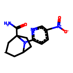 NC(=O)C12C[CH]CC(CC1)N2c1ccc([N+](=O)[O-])cn1